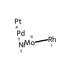 [Mo][Rh].[Ni].[Pd].[Pt]